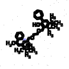 C=C(/C=C(\C=C(/CCC)COCCOCc1c(C)c(C(C)(C)C)cc(C2=CCC=CC=C2)c1O)C(C)(C)C)C1=CCCC=C1